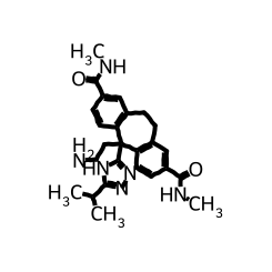 CNC(=O)c1ccc2c(c1)CCc1cc(C(=O)NC)ccc1C2(CCN)c1nnc(C(C)C)[nH]1